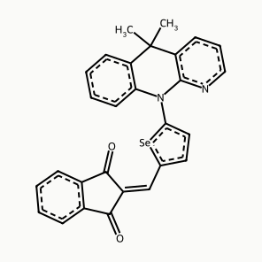 CC1(C)c2ccccc2N(c2ccc(C=C3C(=O)c4ccccc4C3=O)[se]2)c2ncccc21